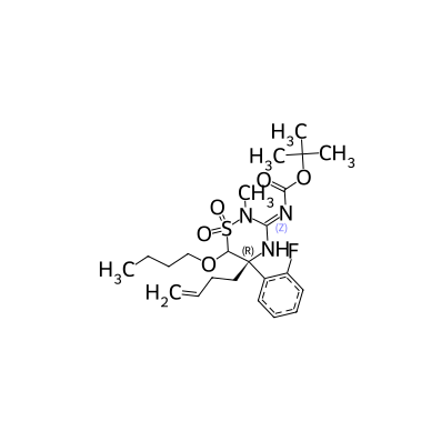 C=CCC[C@]1(c2ccccc2F)N/C(=N/C(=O)OC(C)(C)C)N(C)S(=O)(=O)C1OCCCC